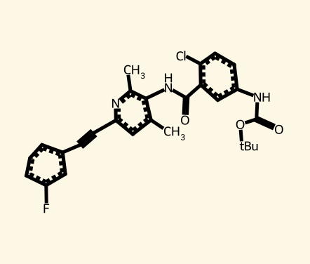 Cc1cc(C#Cc2cccc(F)c2)nc(C)c1NC(=O)c1cc(NC(=O)OC(C)(C)C)ccc1Cl